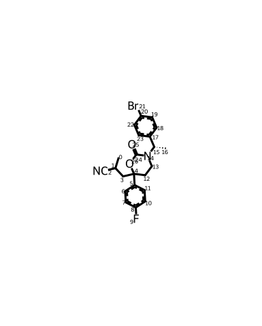 CC(C#N)CC1(c2ccc(F)cc2)CCN([C@@H](C)c2ccc(Br)cc2)C(=O)O1